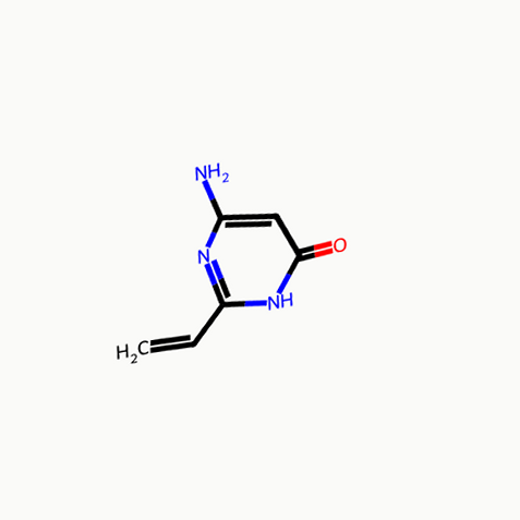 C=Cc1nc(N)cc(=O)[nH]1